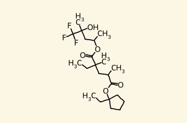 CCC1(OC(=O)C(C)CC(C)(CC)C(=O)OC(C)CC(C)(O)C(F)(F)F)CCCC1